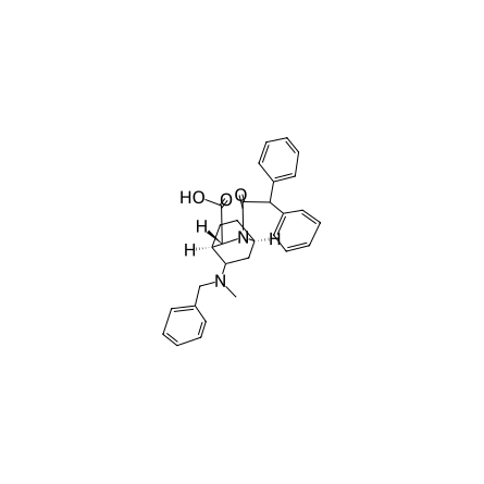 CN(Cc1ccccc1)C1C[C@@H]2CC[C@H]1[C@H](C(=O)O)N2C(=O)C(c1ccccc1)c1ccccc1